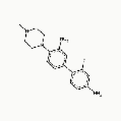 CN1CCN(c2ccc(-c3ccc(N)cc3F)cc2[N+](=O)[O-])CC1